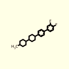 CC1CCC(C2CCC(c3ccc(-c4ccc(F)c(F)c4)cc3)CC2)CC1